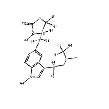 [2H]N1C(=O)OC([2H])([2H])[C@]1([2H])C([2H])([2H])c1ccc2c(c1)c(C([2H])([2H])CN(C)C([2H])([2H])[2H])cn2[2H]